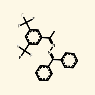 C/C(=N/N=C(c1ccccc1)c1ccccc1)c1cc(C(F)(F)F)cc(C(F)(F)F)c1